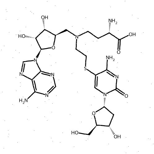 Nc1nc(=O)n([C@@H]2C[C@H](O)[C@@H](CO)O2)cc1SCCN(CC[C@H](N)C(=O)O)C[C@H]1O[C@@H](n2cnc3c(N)ncnc32)[C@H](O)[C@@H]1O